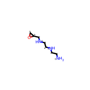 NCCNCCNCC1CO1